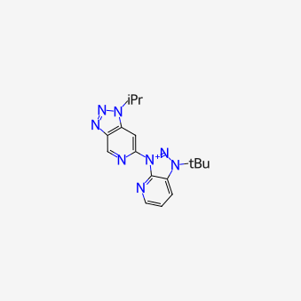 CC(C)n1nnc2cnc(-[n+]3nn(C(C)(C)C)c4cccnc43)cc21